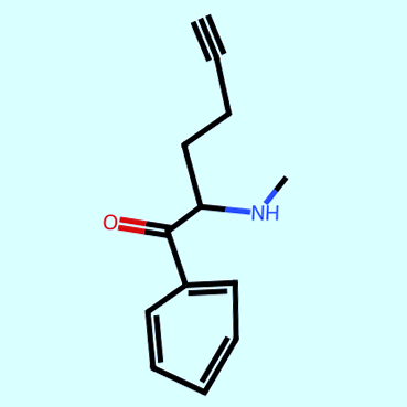 C#CCCC(NC)C(=O)c1ccccc1